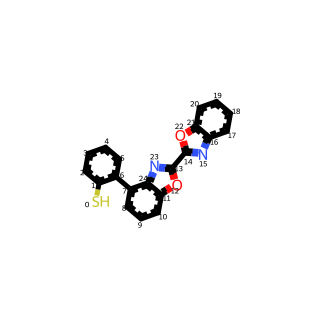 Sc1ccccc1-c1cccc2oc(-c3nc4ccccc4o3)nc12